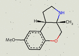 COc1ccc2c(c1)[C@@H]1CCN[C@]1(C)CO2